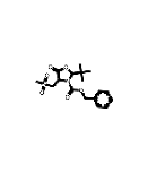 CC(C)(C)C1OC(=O)C(CS(C)(=O)=O)N1C(=O)OCc1ccccc1